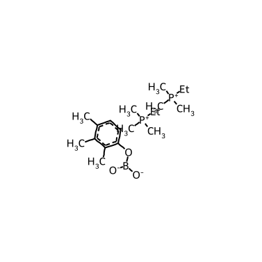 CC[P+](C)(C)C.CC[P+](C)(C)C.Cc1ccc(OB([O-])[O-])c(C)c1C